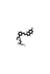 CC(=O)SC(SCCC(N)=O)c1cccc(C=Cc2ccc3ccc(Cl)cc3n2)c1